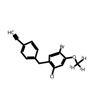 [2H]C([2H])([2H])Oc1cc(Cl)c(Cc2ccc(C#C)cc2)cc1Br